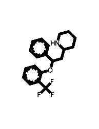 FC(F)(F)c1ccccc1OC(CC1CCCCN1)c1ccccc1